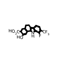 O=C(O)C1CC2=C(C=C1O)c1[nH]c3c(F)c(C(F)(F)F)ccc3c1CC2